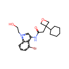 O=C(CC1(C2CCCCC2)COC1)Nc1cn(CCO)c2cccc(Br)c12